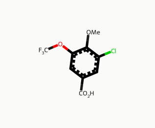 COc1c(Cl)cc(C(=O)O)cc1OC(F)(F)F